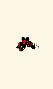 CC1(C)c2ccccc2-c2ccc(N(c3ccc4c(c3)C3(c5ccccc5-c5ccccc5-4)c4ccccc4-c4c3ccc3oc5ccccc5c43)c3cccc4c3Oc3ccccc3-c3ccccc3-4)cc21